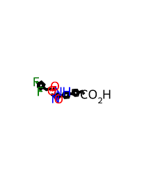 Cc1noc(-c2ccc(-c3ccc(CC(=O)O)cc3)cc2)c1NC(=O)OCCc1ccc(F)cc1F